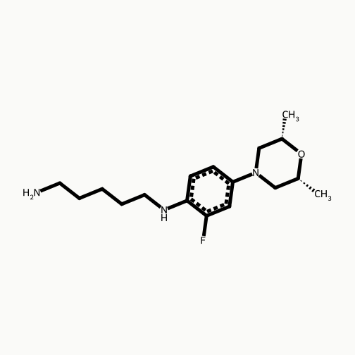 C[C@@H]1CN(c2ccc(NCCCCCN)c(F)c2)C[C@H](C)O1